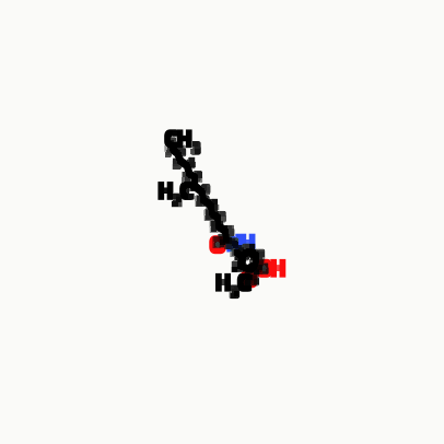 C=C(CCCCCCC)CCCCCCCC(=O)NCc1ccc(O)c(OC)c1